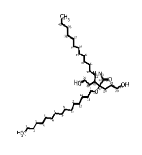 CCCCCCCCCCCCCCCCOC(CCCO)(C(N)=O)C(CCO)CCCCCCCCCCCCC